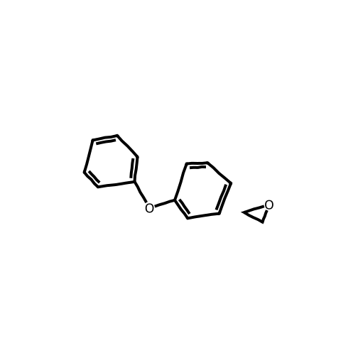 C1CO1.c1ccc(Oc2ccccc2)cc1